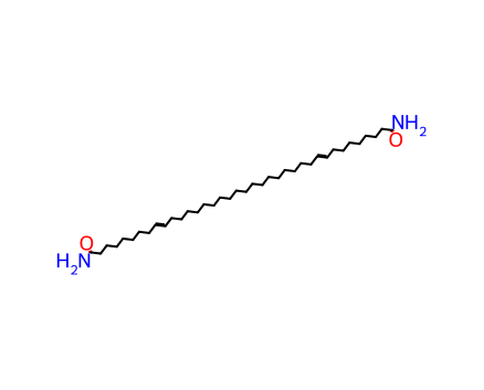 NC(=O)CCCCCCCC=CCCCCCCCCCCCCCCCCCCC=CCCCCCCCC(N)=O